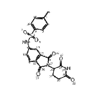 Cc1ccc(S(=O)(=O)Nc2ccc3c(c2)C(=O)N(C2CCC(=O)NC2=O)C3=O)cc1